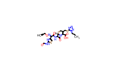 C#CCO/N=C(/C(=O)NC1C(=O)N2C(C(=O)O)=C(CSc3nnnn3CCC)CS[C@H]12)c1csc(NC=O)n1